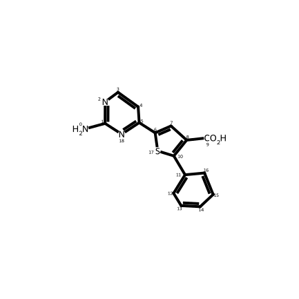 Nc1nccc(-c2cc(C(=O)O)c(-c3ccccc3)s2)n1